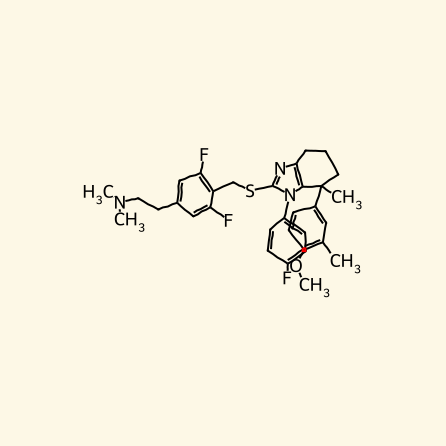 COc1ccc(C2(C)CCCc3nc(SCc4c(F)cc(CCN(C)C)cc4F)n(-c4ccc(F)cc4)c32)cc1C